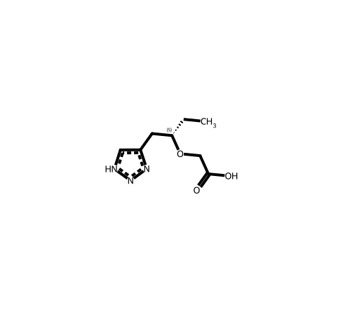 CC[C@@H](Cc1c[nH]nn1)OCC(=O)O